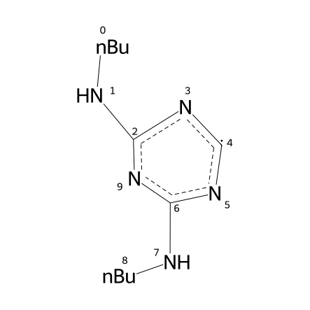 CCCCNc1n[c]nc(NCCCC)n1